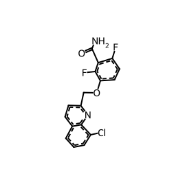 NC(=O)c1c(F)ccc(OCc2ccc3cccc(Cl)c3n2)c1F